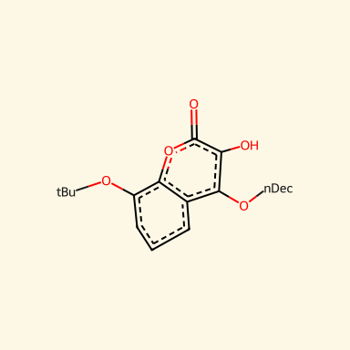 CCCCCCCCCCOc1c(O)c(=O)oc2c(OC(C)(C)C)cccc12